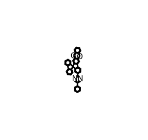 c1ccc(-c2cnc(-c3ccc4c(c3)C3(c5ccccc5-c5ccccc53)c3cc5c(cc3-4)Oc3ccccc3O5)nc2)cc1